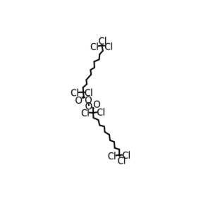 O=C(OOC(=O)C(Cl)(Cl)CCCCCCCCCCC(Cl)(Cl)Cl)C(Cl)(Cl)CCCCCCCCCCC(Cl)(Cl)Cl